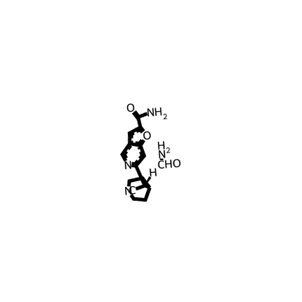 NC(=O)c1cc2cnc([C@H]3CN4CCC3CC4)cc2o1.NC=O